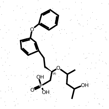 CC(O)CC(C)O[C@H](CCc1cccc(Oc2ccccc2)c1)CP(=O)(O)O